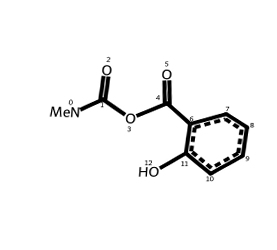 CNC(=O)OC(=O)c1ccccc1O